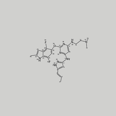 C/C=C/c1cc(Nc2cc(NCCN(C)C)nc(Oc3cc(F)c4[nH]c(C)cc4c3F)n2)n[nH]1